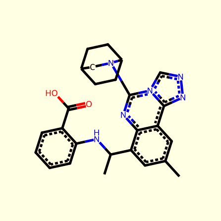 Cc1cc(C(C)Nc2ccccc2C(=O)O)c2nc(N3CC4CCC3CC4)n3cnnc3c2c1